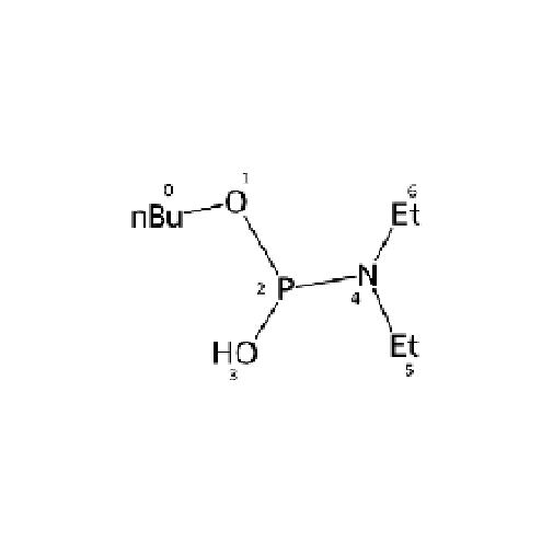 CCCCOP(O)N(CC)CC